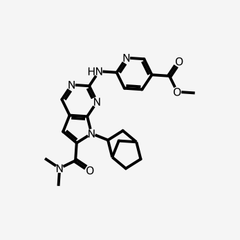 COC(=O)c1ccc(Nc2ncc3cc(C(=O)N(C)C)n(C4CC5CCC4C5)c3n2)nc1